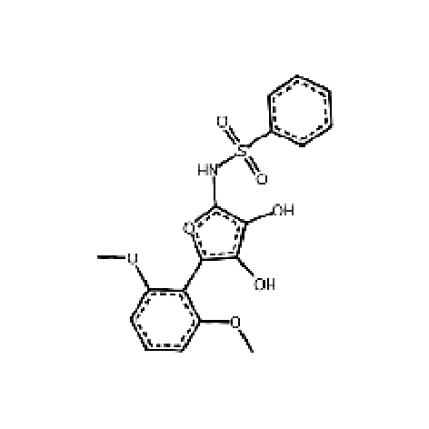 COc1cccc(OC)c1-c1oc(NS(=O)(=O)c2ccccc2)c(O)c1O